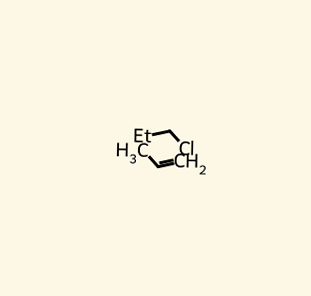 C=CC.CCCCl